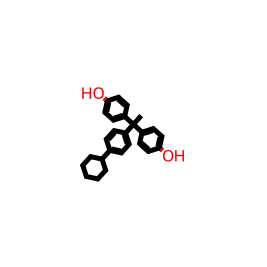 CC(c1ccc(O)cc1)(c1ccc(O)cc1)c1ccc(C2CCCCC2)cc1